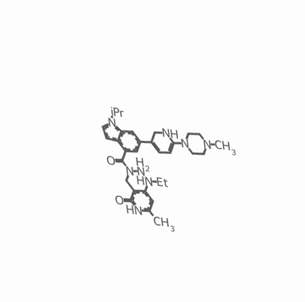 CCNc1cc(C)[nH]c(=O)c1CN(N)C(=O)c1cc(C2=CC=C(N3CCN(C)CC3)NC2)cc2c1ccn2C(C)C